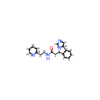 O=C(CC1c2ccccc2-c2cncn21)NCCc1ccccn1